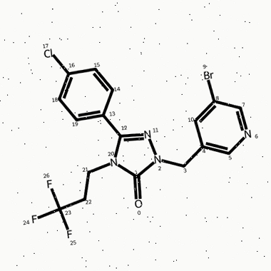 O=c1n(Cc2cncc(Br)c2)nc(-c2ccc(Cl)cc2)n1CCC(F)(F)F